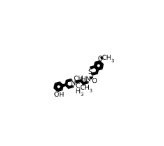 COc1ccc2c(c1)CS[C@@H](C(=O)NC[C@@H](C)CC(C)(C)N1CCC(c3cccc(O)c3)CC1)C2